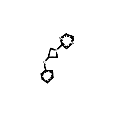 c1ccc(OC2CN(c3cnccn3)C2)cc1